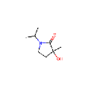 CC(C)N1CCC(C)(O)C1=O